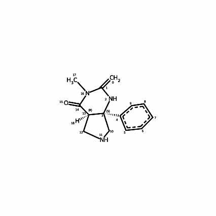 C=C1N[C@@]2(c3ccccc3)CNC[C@H]2C(=O)N1C